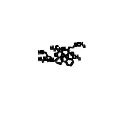 COC(=O)[C@H](CCSC)NC(=O)C(C)Oc1nc(-c2ccccc2)ccc1NCC(N)CS